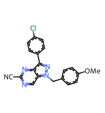 COc1ccc(Cn2nc(-c3ccc(Cl)cc3)c3nc(C#N)ncc32)cc1